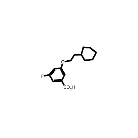 O=C(O)c1cc(F)cc(OCCC2CCCCC2)c1